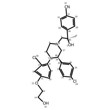 C[C@](O)(CN1CCN(c2ccc(OCCO)cc2Cl)[C@H](c2ccc(Cl)cc2)C1)c1ccc(C#N)cc1